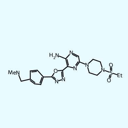 CCS(=O)(=O)N1CCN(c2cnc(N)c(-c3nnc(-c4ccc(CNC)cc4)o3)n2)CC1